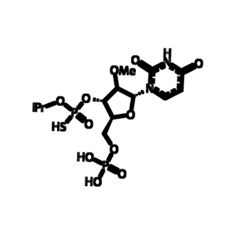 COC1[C@@H](OP(=O)(S)OC(C)C)[C@H](COP(=O)(O)O)O[C@H]1n1ccc(=O)[nH]c1=O